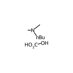 CCCCN(C)C.O=C(O)O